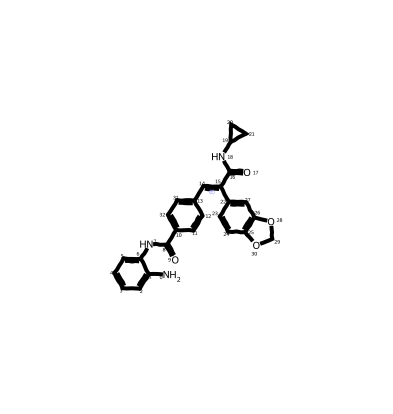 Nc1ccccc1NC(=O)c1ccc(/C=C(/C(=O)NC2CC2)c2ccc3c(c2)OCO3)cc1